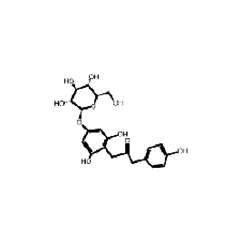 O=C(Cc1ccc(O)cc1)Cc1c(O)cc(O[C@@H]2O[C@H](CO)[C@@H](O)[C@H](O)[C@H]2O)cc1O